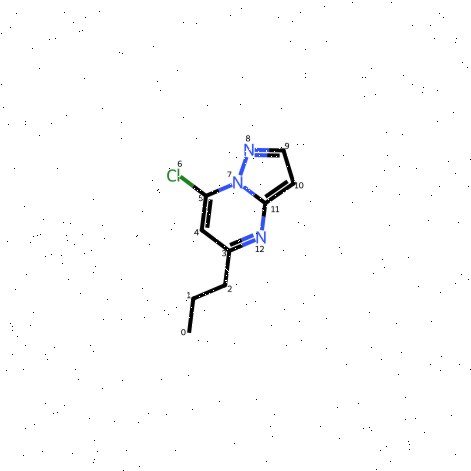 CCCc1cc(Cl)n2nccc2n1